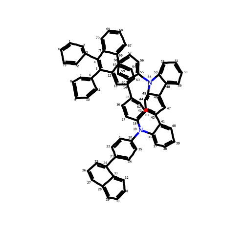 c1ccc(-c2c(-c3ccccc3)c3cc(-c4ccc(N(c5ccc(-c6cccc7ccccc67)cc5)c5ccccc5-c5ccc6c(c5)c5ccccc5n6-c5ccccc5)cc4)ccc3c3ccccc23)cc1